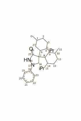 CC1CCC(C(C)C)C(C2(C3CC(C)CCC3C(C)C)CN(c3ccccc3)NC2=O)C1